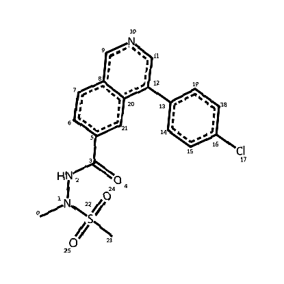 CN(NC(=O)c1ccc2cncc(-c3ccc(Cl)cc3)c2c1)S(C)(=O)=O